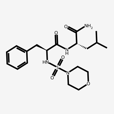 CC(C)C[C@H](NC(=O)[C@H](Cc1ccccc1)NS(=O)(=O)N1CCOCC1)C(N)=O